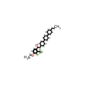 CCCC1CCC(C2CCC(C3CCC(CC(=O)c4ccc(OCC)c(F)c4C(F)(F)F)CC3)CC2)CC1